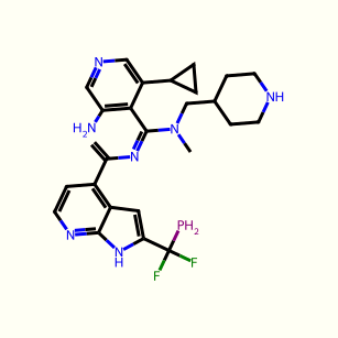 C=C(/N=C(\c1c(N)cncc1C1CC1)N(C)CC1CCNCC1)c1ccnc2[nH]c(C(F)(F)P)cc12